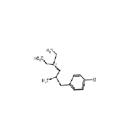 CC(Cc1ccc(Cl)cc1)C[C@H](CN)CC(=O)O